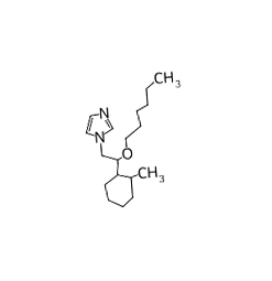 CCCCCCOC(Cn1ccnc1)C1CCCCC1C